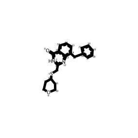 O=c1[nH]c(CSC2CCOCC2)nc2c(Cc3ccccc3)cccc12